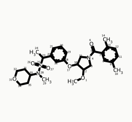 COC1CN(C(=O)c2cc(C)ccc2C)CC1Oc1cccc(C(C)S(=O)(=O)N(C)C2CCOCC2)c1